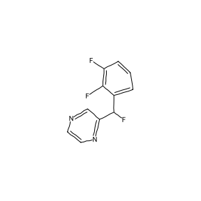 Fc1cccc(C(F)c2cnccn2)c1F